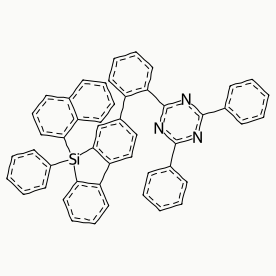 c1ccc(-c2nc(-c3ccccc3)nc(-c3ccccc3-c3ccc4c(c3)[Si](c3ccccc3)(c3cccc5ccccc35)c3ccccc3-4)n2)cc1